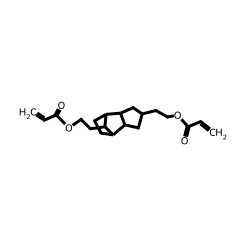 C=CC(=O)OCCC1CC2C3CCC(C3CCOC(=O)C=C)C2C1